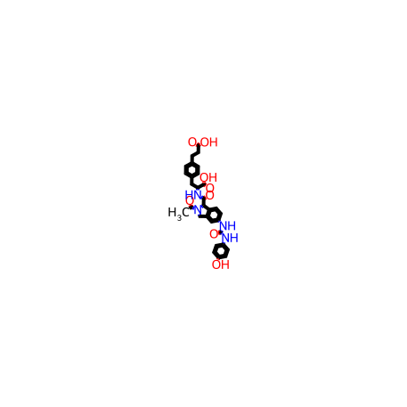 CC(=O)N1Cc2cc(NC(=O)Nc3ccc(O)cc3)ccc2C1C(=O)NC(Cc1ccc(CCC(=O)O)cc1)C(=O)O